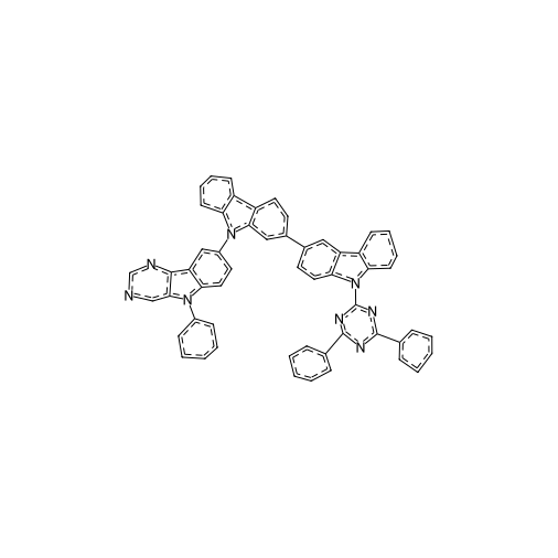 c1ccc(-c2nc(-c3ccccc3)nc(-n3c4ccccc4c4cc(-c5ccc6c7ccccc7n(-c7ccc8c(c7)c7ncncc7n8-c7ccccc7)c6c5)ccc43)n2)cc1